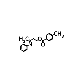 CC(CCOC(=O)c1ccc(C)cc1)=Nc1ccccc1